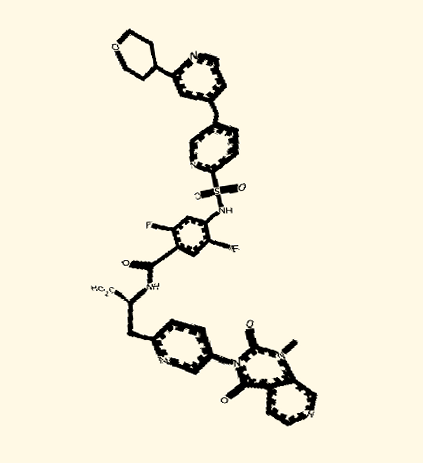 Cn1c(=O)n(-c2ccc(C[C@H](NC(=O)c3cc(F)c(NS(=O)(=O)c4ccc(-c5ccnc(C6CCOCC6)c5)cn4)cc3F)C(=O)O)nc2)c(=O)c2ccncc21